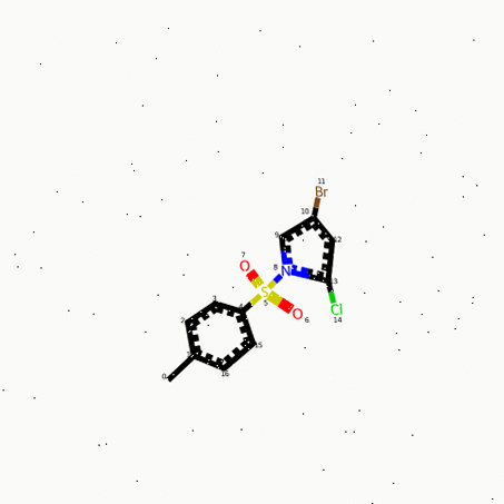 Cc1ccc(S(=O)(=O)n2cc(Br)cc2Cl)cc1